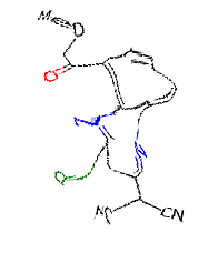 COC(=O)c1cccc2nc(C(C#N)C#N)c(Cl)nc12